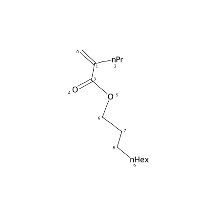 C=C(CCC)C(=O)OCCCCCCCCC